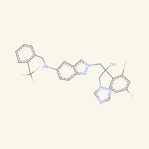 OC(Cn1cncn1)(Cn1cc2cc(NCc3ccccc3C(F)(F)F)ccc2n1)c1ccc(F)cc1F